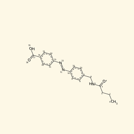 CCCC(=O)NCc1ccc(N=Nc2ccc(C(=O)O)cc2)cc1